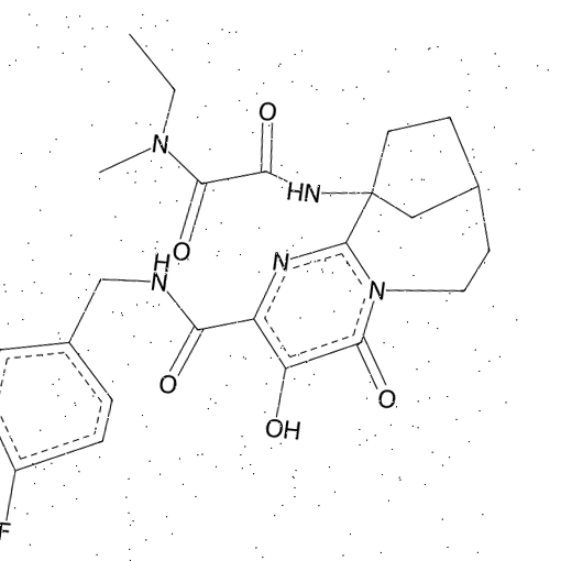 CCN(C)C(=O)C(=O)NC12CCC(CCn3c1nc(C(=O)NCc1ccc(F)cc1)c(O)c3=O)C2